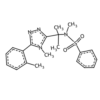 Cc1ccccc1-c1nnc(C(C)(C)N(C)S(=O)(=O)c2ccccc2)n1C